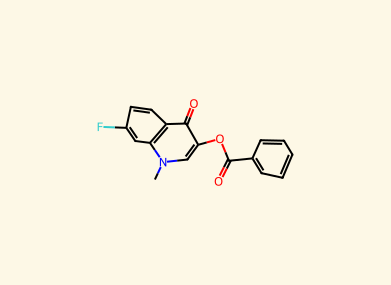 Cn1cc(OC(=O)c2ccccc2)c(=O)c2ccc(F)cc21